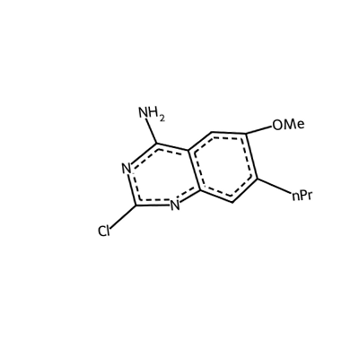 CCCc1cc2nc(Cl)nc(N)c2cc1OC